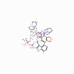 CC(C)(C)OC(=O)Nc1oc2c(F)ccc(-c3c4c(c5c(N6C7CCC6CN(C(=O)OC(C)(C)C)C7)nc(OC[C@@]67CCCN6C[C@H](F)C7)nc5c3F)COC4)c2c1C#N